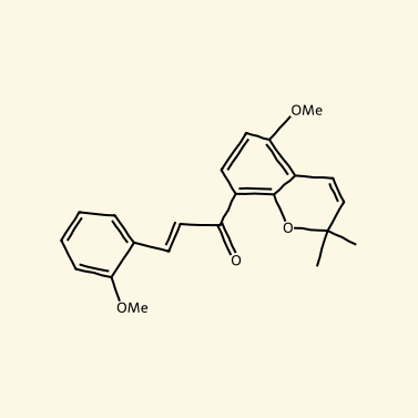 COc1ccccc1C=CC(=O)c1ccc(OC)c2c1OC(C)(C)C=C2